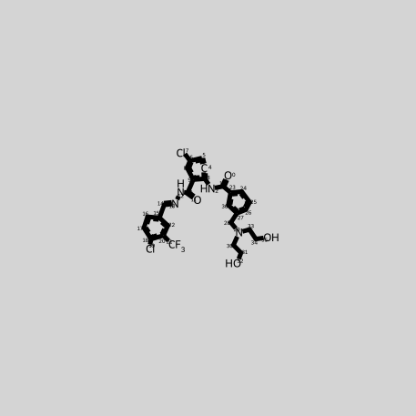 O=C(Nc1ccc(Cl)cc1C(=O)NN=Cc1ccc(Cl)c(C(F)(F)F)c1)c1cccc(CN(CCO)CCO)c1